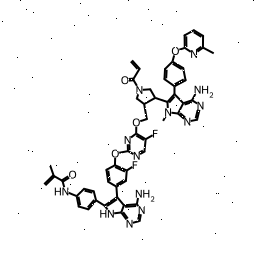 C=CC(=O)N1CC(COc2nc(Oc3ccc(-c4c(-c5ccc(NC(=O)C(=C)C)cc5)[nH]c5ncnc(N)c45)cc3F)ncc2F)C(c2c(-c3ccc(Oc4cccc(C)n4)cc3)c3c(N)ncnc3n2C)C1